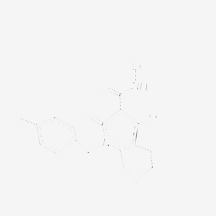 CCNC(=O)c1c(O)c2c(n(Cc3ccc(C)cc3)c1=O)COCC2